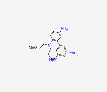 COCCN(CCOC)c1ccc(N)cc1-c1cc(N)cc(N)c1